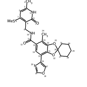 CSc1cc(C)[nH]c(=O)c1CNC(=O)c1cc(-c2cocn2)c2c(c1C)OC1(CCCCC1)O2